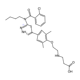 C=C(S/C(=N\N)N(CCCC)C(=O)c1ccccc1Cl)c1cc(C)c(OCCNCCC(=O)O)c(C)c1